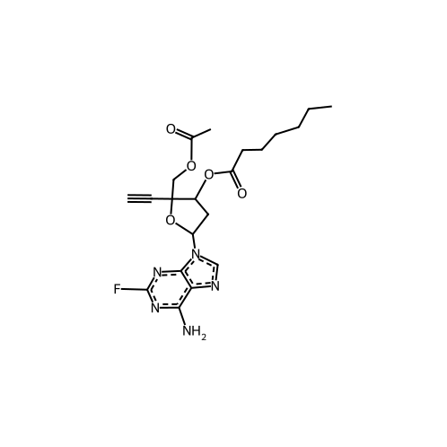 C#CC1(COC(C)=O)OC(n2cnc3c(N)nc(F)nc32)CC1OC(=O)CCCCCC